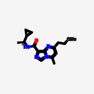 COCCc1cc(C)n2cnc(C(=O)N[C@@H](C)C3CC3)c2n1